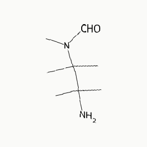 CN(C=O)C(C)(C)C(C)(C)N